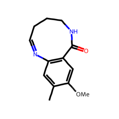 COc1cc2c(cc1C)N=CCCCNC2=O